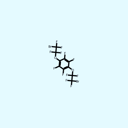 Fc1c(F)c(OC(F)(F)C(F)(F)Br)c(F)c(F)c1OC(F)(F)C(F)(F)Br